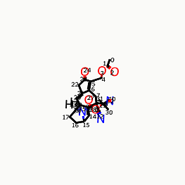 CC(=O)OCC1=C2CC(C#N)(C#N)C3=CC4CC[C@@H]([C@@H]3C=C2CC1=O)N4C(=O)OC(C)(C)C